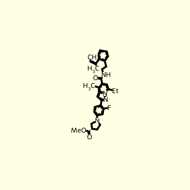 C/C=C(/C)c1ccccc1CCNC(=O)c1cc(CC)n2nc(-c3ccc(N4CC[C@H](C(=O)OC)C4)cc3F)cc2c1C